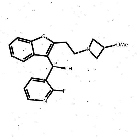 COC1CN(CCc2sc3ccccc3c2[C@@H](C)c2cccnc2F)C1